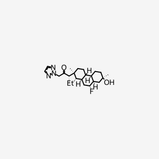 CC[C@H]1[C@@H]2C[C@@H](F)[C@@H]3C[C@](C)(O)CC[C@@H]3[C@H]2CC[C@]1(C)[C@H](C)C(=O)Cn1nccn1